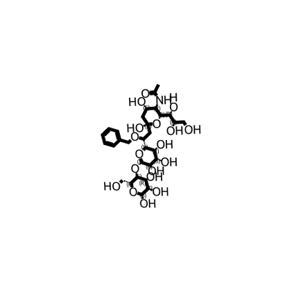 CC(=O)N[C@H]1[C@H]([C@H](O)[C@H](O)CO)O[C@](O)(CC(OCc2ccccc2)[C@H]2O[C@@H](O[C@H]3[C@H](O)[C@@H](O)[C@@H](O)O[C@@H]3CO)[C@H](O)[C@@H](O)[C@H]2O)C[C@@H]1O